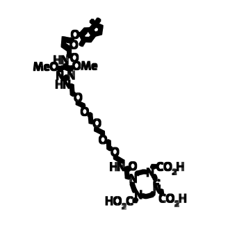 COc1nc(NCCOCCOCCOCCOCCOCCNC(=O)CN2CCN(CC(=O)O)CCN(CC(=O)O)CCN(CC(=O)O)CC2)nc(OC)c1NC(=O)c1ccc(Oc2cc3c(cc2C)CCC3(C)C)o1